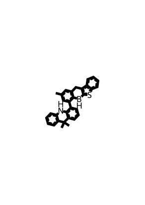 Cc1cc2c(c(-c3cccc4c3Nc3ccccc3C4(C)C)c1)Bc1sc3ccccc3c1C2